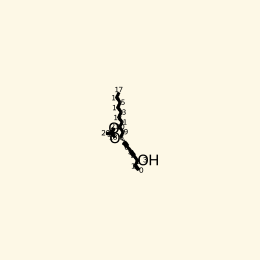 C=C[C@H](O)C#CC#C[C@@H](CCCCCCCCC)OC(C)=O